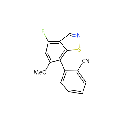 COc1cc(F)c2cnsc2c1-c1ccccc1C#N